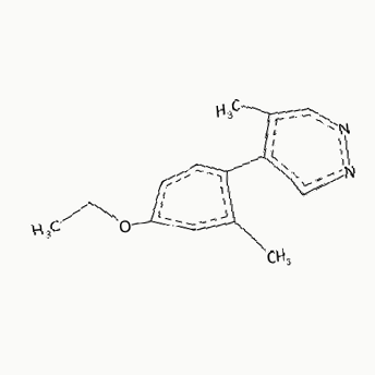 CCOc1ccc(-c2cnncc2C)c(C)c1